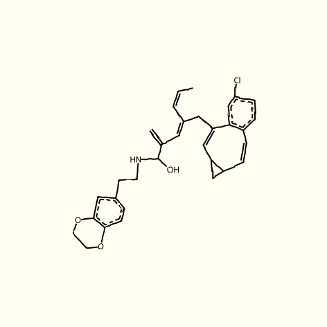 C=C(/C=C(\C=C/C)C/C1=C/C2CC2/C=C\c2ccc(Cl)cc21)C(O)NCCc1ccc2c(c1)OCCO2